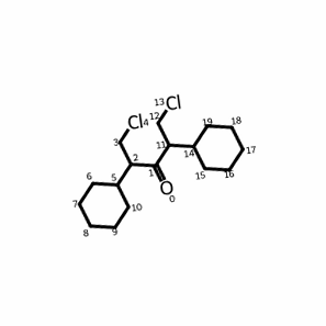 O=C(C(CCl)C1CCCCC1)C(CCl)C1CCCCC1